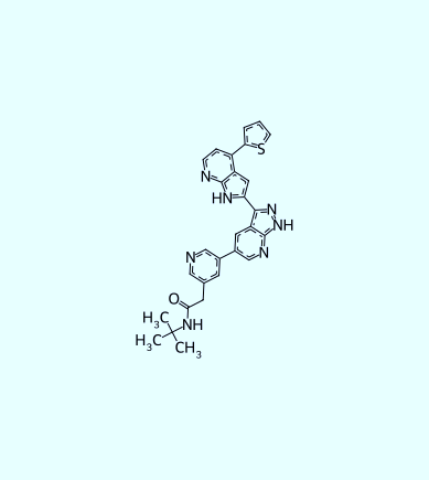 CC(C)(C)NC(=O)Cc1cncc(-c2cnc3[nH]nc(-c4cc5c(-c6cccs6)ccnc5[nH]4)c3c2)c1